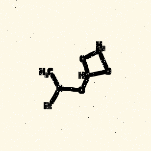 CCN(C)O[SiH]1O[SiH2]O1